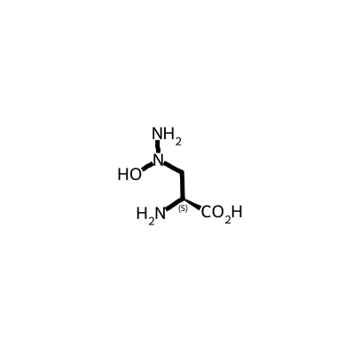 N[C@@H](CN(N)O)C(=O)O